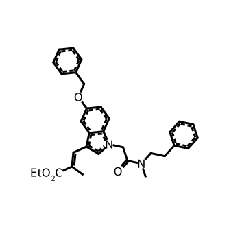 CCOC(=O)C(C)=Cc1cn(CC(=O)N(C)CCc2ccccc2)c2ccc(OCc3ccccc3)cc12